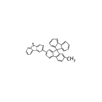 Cc1ccc2c(c1)C1(c3ccccc3-c3ccccc31)c1cc(-c3ccc4sc5ccccc5c4c3)ccc1-2